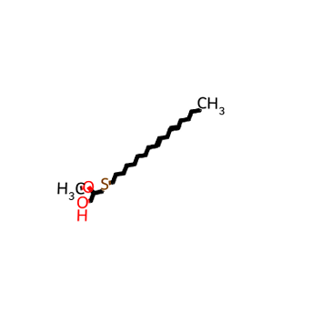 CCCCCC=CCC=CCCCCCCCCSCC(CO)OC